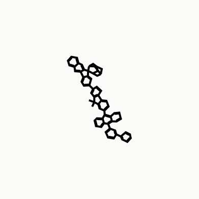 CC1(C)c2cc(-c3ccc4c(c3)C3(c5cc6ccccc6cc5-4)C4CC5CC(C4)CC3C5)ccc2-c2ccc(-c3c4ccccc4c(-c4cccc(-c5ccccc5)c4)c4ccccc34)cc21